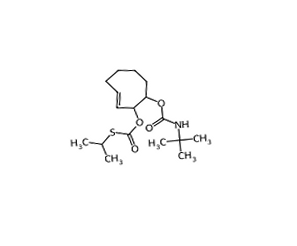 CC(C)SC(=O)OC1/C=C/CCCCC1OC(=O)NC(C)(C)C